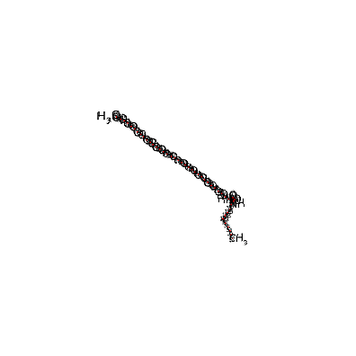 CCCCCCCCC/C=C\CCCCCCCCNc1c(NCCOCCOCCOCCOCCOCCOCCOCCOCCOCCOCCOCCOCCOCCOCCOCCOCCOCCOCCOCCOCCOCCOC)c(=O)c1=O